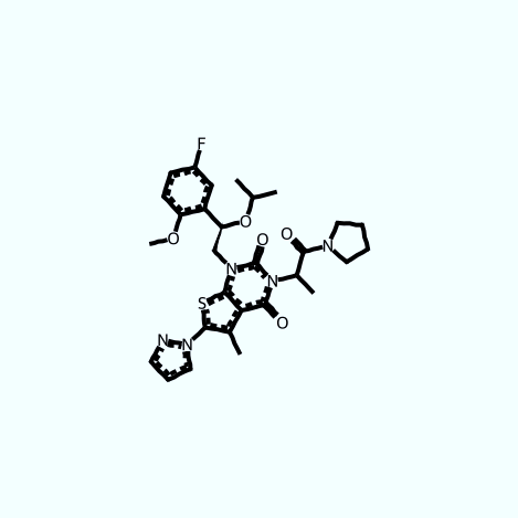 COc1ccc(F)cc1[C@H](Cn1c(=O)n(C(C)C(=O)N2CCCC2)c(=O)c2c(C)c(-n3cccn3)sc21)OC(C)C